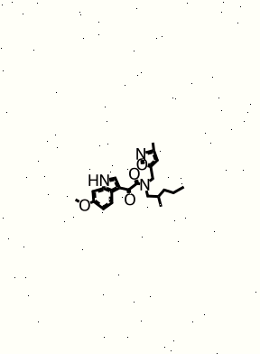 CCCC(C)CN(Cc1cc(C)no1)C(=O)C(=O)c1c[nH]c2cc(OC)ccc12